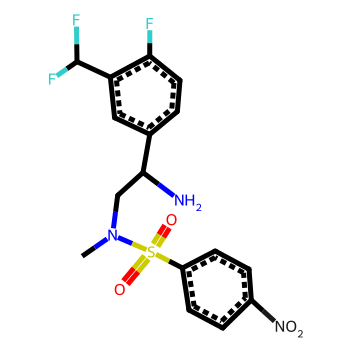 CN(CC(N)c1ccc(F)c(C(F)F)c1)S(=O)(=O)c1ccc([N+](=O)[O-])cc1